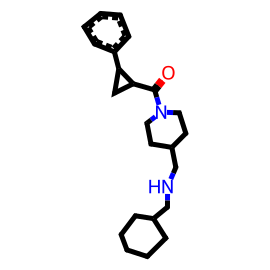 O=C(C1CC1c1ccccc1)N1CCC(CNCC2CCCCC2)CC1